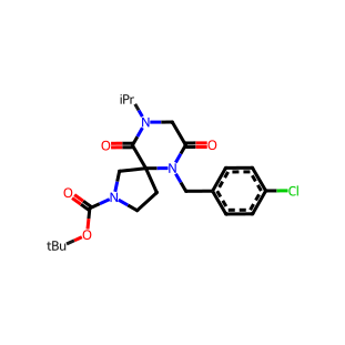 CC(C)N1CC(=O)N(Cc2ccc(Cl)cc2)C2(CCN(C(=O)OC(C)(C)C)C2)C1=O